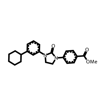 COC(=O)c1ccc(N2CCN(c3cccc(C4CCCCC4)c3)C2=O)cc1